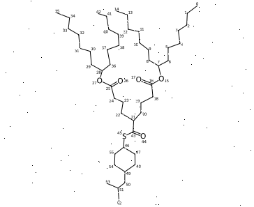 CCCCCCCC(CCCCCCC)OC(=O)CCCC(CCCC(=O)OC(CCCCCCC)CCCCCCC)C(=O)SC1CCC(CC(C)C)CC1